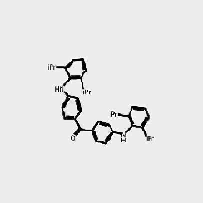 CC(C)c1cccc(C(C)C)c1Nc1ccc(C(=O)c2ccc(Nc3c(C(C)C)cccc3C(C)C)cc2)cc1